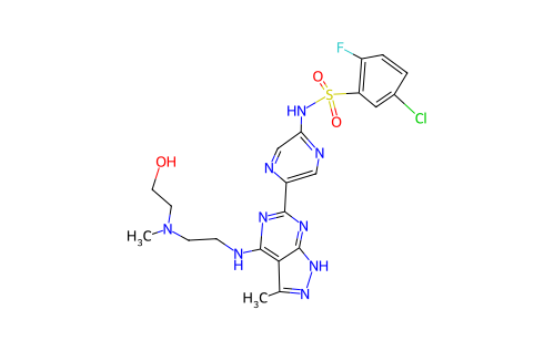 Cc1n[nH]c2nc(-c3cnc(NS(=O)(=O)c4cc(Cl)ccc4F)cn3)nc(NCCN(C)CCO)c12